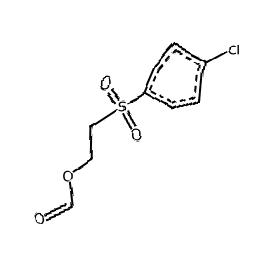 O=COCCS(=O)(=O)c1ccc(Cl)cc1